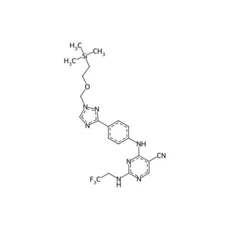 C[Si](C)(C)CCOCn1cnc(-c2ccc(Nc3nc(NCC(F)(F)F)ncc3C#N)cc2)n1